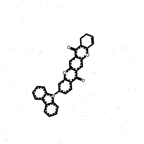 O=c1c2c(oc3cc4c(=O)c5ccc(-n6c7ccccc7c7ccccc76)cc5oc4cc13)C=CCC2